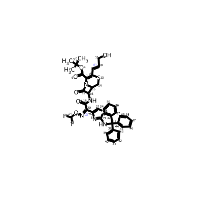 CC(C)(C)OC(=O)C1=C(/C=C/CO)SCC2C(NC(=O)/C(=N\OC(F)F)c3csc(NC(c4ccccc4)(c4ccccc4)c4ccccc4)n3)C(=O)N12